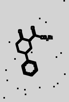 CCOC(=O)C(=O)C1CC(c2ccccc2)CCC1=O